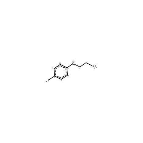 BCCOc1ccc(I)cc1